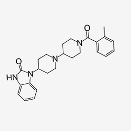 Cc1ccccc1C(=O)N1CCC(N2CCC(n3c(=O)[nH]c4ccccc43)CC2)CC1